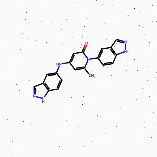 Cc1cc(Nc2ccc3[nH]ncc3c2)cc(=O)n1-c1ccc2[nH]ncc2c1